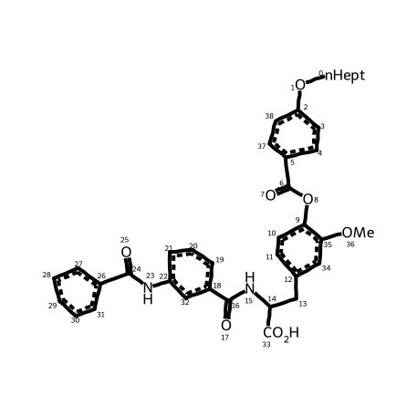 CCCCCCCOc1ccc(C(=O)Oc2ccc(CC(NC(=O)c3cccc(NC(=O)c4ccccc4)c3)C(=O)O)cc2OC)cc1